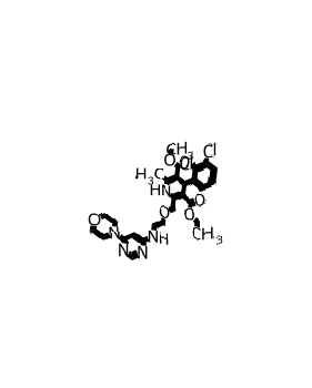 CCOC(=O)C1=C(COCCNc2cc(N3CCOCC3)ncn2)NC(C)=C(C(=O)OC)C1c1cccc(Cl)c1Cl